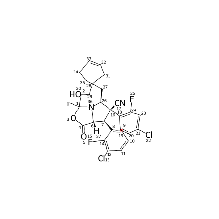 CC1(C)OC(=O)[C@H]2[C@H](c3cccc(Cl)c3F)[C@@](C#N)(c3ccc(Cl)cc3F)[C@H](CC3(CO)CC=CCC3)N21